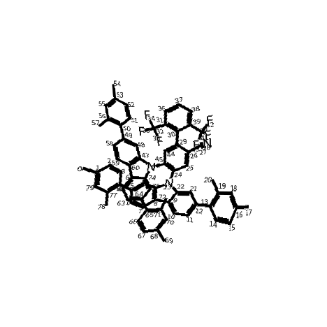 Cc1ccc(-c2ccc3c4ccc(-c5ccc(C)cc5C)cc4n(-c4cc(C#N)c(-c5c(C(F)(F)F)cccc5C(F)(F)F)cc4-n4c5cc(-c6ccc(C)cc6C)ccc5c5ccc(-c6ccc(C)cc6C)cc54)c3c2)c(C)c1